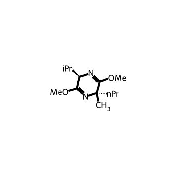 CCC[C@]1(C)N=C(OC)[C@@H](C(C)C)N=C1OC